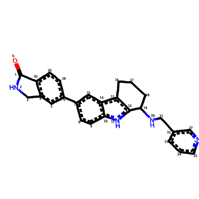 O=C1NCc2cc(-c3ccc4[nH]c5c(c4c3)CCCC5NCc3cccnc3)ccc21